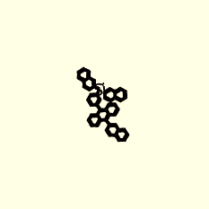 C[Si](c1cccc(-c2c3ccccc3c(-c3ccc4ccccc4c3)c3ccccc23)c1)(c1ccc2ccccc2c1)c1ccc2ccccc2c1